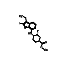 CC(C)(C)OC(=O)N1CC[C@H](Nc2cccc3c(CC(F)(F)F)c(I)sc23)[C@H](F)C1